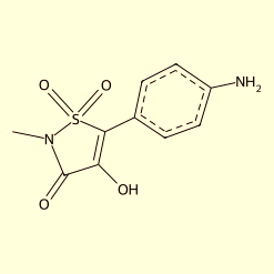 CN1C(=O)C(O)=C(c2ccc(N)cc2)S1(=O)=O